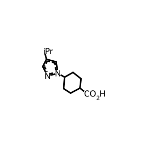 CC(C)c1cnn(C2CCC(C(=O)O)CC2)c1